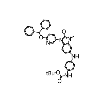 Cn1c(=O)n(-c2ccc(OC(c3ccccc3)c3ccccc3)nc2)c2ccc(Nc3ccc(NC(=O)OC(C)(C)C)cc3)cc21